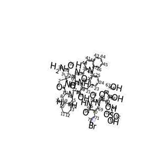 CC(C)(C)NC(=O)[C@@H]1C[C@@H]2CCCC[C@@H]2CN1C[C@@H](O)[C@H](Cc1ccccc1)NC(=O)[C@H](CC(N)=O)NC(=O)c1ccc2ccccc2n1.CS(=O)(=O)O.O=c1[nH]c(=O)n([C@@H]2O[C@H](CO)[C@@H](O)[C@@H]2O)cc1/C=C/Br